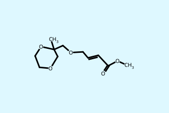 COC(=O)/C=C/COCC1(C)COCCO1